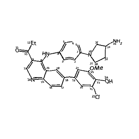 C=C(/C=C\C(=C/C)Nc1c(C(=O)CC)cnc2ccc(-c3cc(Cl)c(O)c(OC)c3)cc12)N1CCC(N)C1